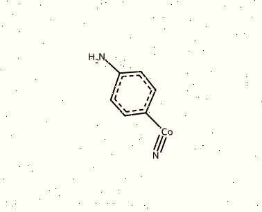 [N]#[Co][c]1ccc(N)cc1